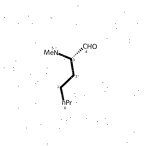 CCCCC[C@@H](C=O)NC